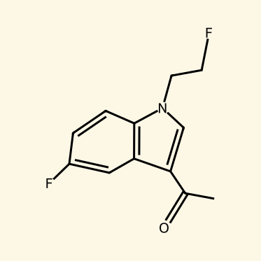 CC(=O)c1cn(CCF)c2ccc(F)cc12